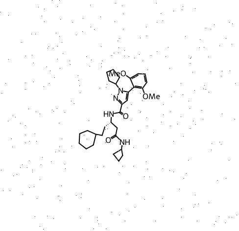 COc1cccc(OC)c1-c1cc(C(=O)N[C@@H](CCC2CCCCC2)CC(=O)NC2CCC2)nn1C1CCCC1